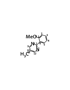 COc1ccccc1-c1ncc(C)cn1